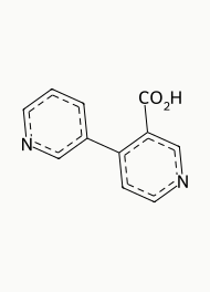 O=C(O)c1cnccc1-c1cccnc1